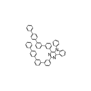 c1ccc(-c2ccc(-c3cccc(-c4cccc(-c5nc(-c6cccc(-c7cccc(-c8ccc(-c9ccccc9)cc8)c7)c6)c6c(n5)c5ccccc5n6-c5ccccc5)c4)c3)cc2)cc1